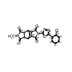 CN1C(=O)C2C3C=CC(C2C1=O)C1C(=O)N(c2nnc(-c4ccccc4Cl)o2)C(=O)C31